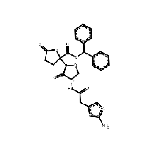 Nc1nc(CC(=O)N[C@H]2CON(C3(C(=O)OC(c4ccccc4)c4ccccc4)CCC(=O)O3)C2=O)cs1